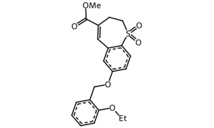 CCOc1ccccc1COc1ccc2c(c1)C=C(C(=O)OC)CCS2(=O)=O